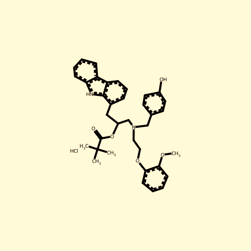 COc1ccccc1OCCN(Cc1ccc(O)cc1)CC(Cc1cccc2c1[nH]c1ccccc12)OC(=O)C(C)(C)C.Cl